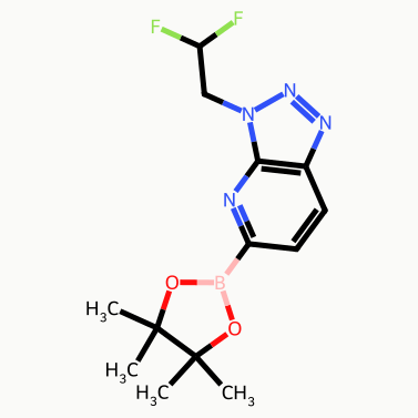 CC1(C)OB(c2ccc3nnn(CC(F)F)c3n2)OC1(C)C